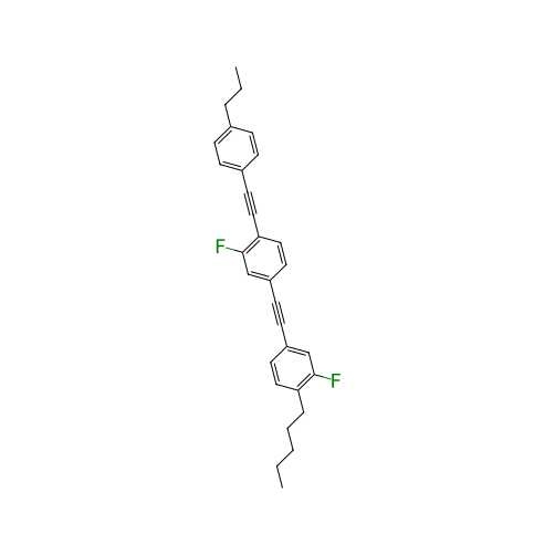 CCCCCc1ccc(C#Cc2ccc(C#Cc3ccc(CCC)cc3)c(F)c2)cc1F